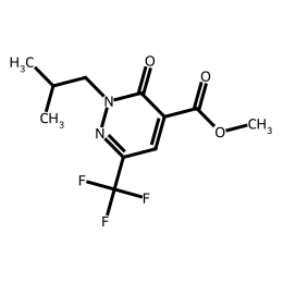 COC(=O)c1cc(C(F)(F)F)nn(CC(C)C)c1=O